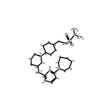 CN(C)S(=O)(=O)NCC1CCC(N2CCCC(Nc3nccc(N4CCCCCC4)n3)C2)CC1